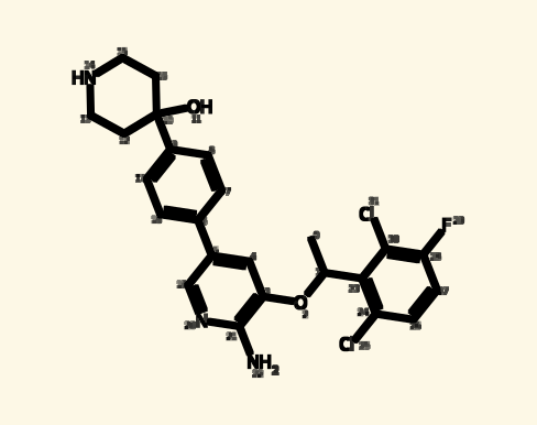 CC(Oc1cc(-c2ccc(C3(O)CCNCC3)cc2)cnc1N)c1c(Cl)ccc(F)c1Cl